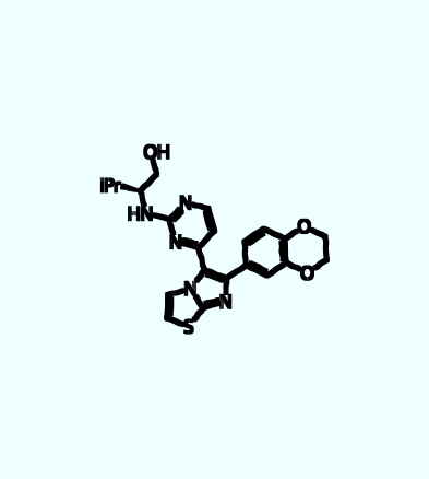 CC(C)[C@@H](CO)Nc1nccc(-c2c(-c3ccc4c(c3)OCCO4)nc3sccn23)n1